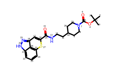 CC(C)(C)OC(=O)N1CCC(CCNC(=O)C2=Cc3n[nH]c4cccc(c34)S2)CC1